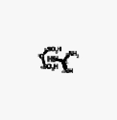 N=C(N)S.O=S(=O)(O)OS(=O)(=O)O